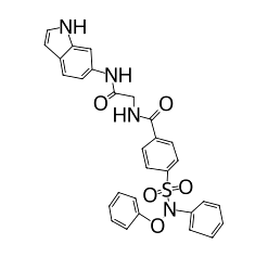 O=C(CNC(=O)c1ccc(S(=O)(=O)N(Oc2ccccc2)c2ccccc2)cc1)Nc1ccc2cc[nH]c2c1